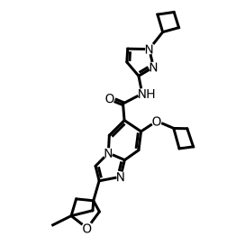 CC12CC(c3cn4cc(C(=O)Nc5ccn(C6CCC6)n5)c(OC5CCC5)cc4n3)(CO1)C2